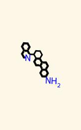 Nc1ccc2c(ccc3c4c(ccc32)C(c2nccc3ccccc23)CCC4)c1